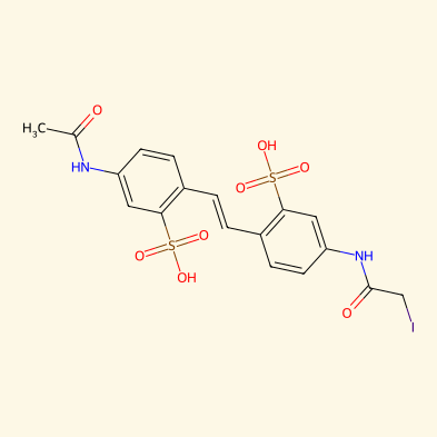 CC(=O)Nc1ccc(/C=C/c2ccc(NC(=O)CI)cc2S(=O)(=O)O)c(S(=O)(=O)O)c1